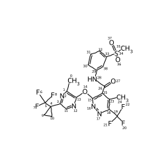 Cc1nc(C2(C(F)(F)F)CC2)cnc1Oc1nnc(C(F)(F)F)c(C)c1C(=O)Nc1cccc(S(C)(=O)=O)c1